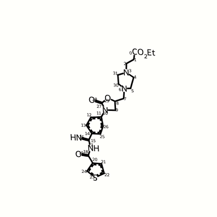 CCOC(=O)CCN1CCN(CC2CN(c3ccc(C(=N)NC(=O)c4ccsc4)cc3)C(=O)O2)CC1